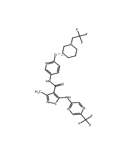 Cc1nsc(Nc2cnc(C(F)(F)F)cn2)c1C(=O)Nc1ccc(O[C@H]2CCCN(CC(F)(F)F)C2)nc1